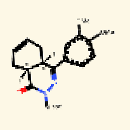 CCCCCCCN1N=C(c2ccc(OC)c(OC)c2)[C@H]2CC=CC[C@H]2C1=O